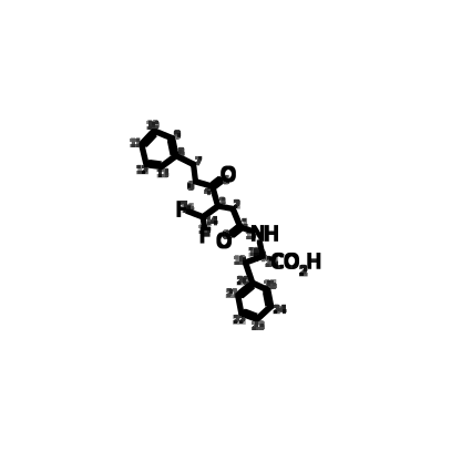 O=C(CC(C(=O)CCc1ccccc1)C(F)F)N[C@@H](Cc1ccccc1)C(=O)O